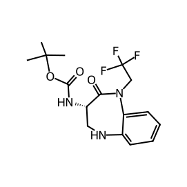 CC(C)(C)OC(=O)N[C@H]1CNc2ccccc2N(CC(F)(F)F)C1=O